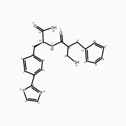 O=C(N[C@@H](Cc1ccc(-c2nccs2)cc1)C(=O)O)C(CS)Cc1ccccc1